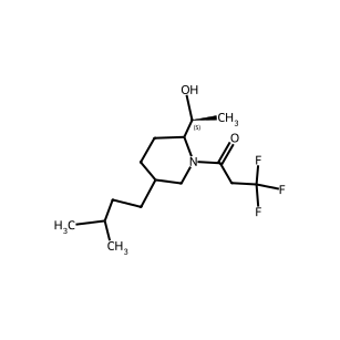 CC(C)CCC1CCC([C@H](C)O)N(C(=O)CC(F)(F)F)C1